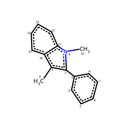 Cc1c(-c2ccccc2)n(C)c2ccccc12